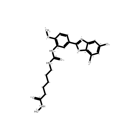 COc1ccc(-c2nc3cc(Cl)cc(Cl)c3o2)cc1NC(=O)NCCCCCC(=O)NO